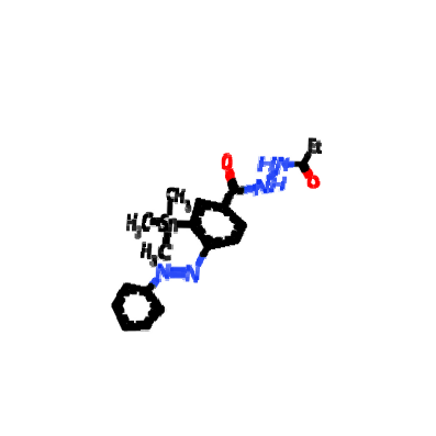 CCC(=O)NNC(=O)c1ccc(N=Nc2ccccc2)[c]([Sn]([CH3])([CH3])[CH3])c1